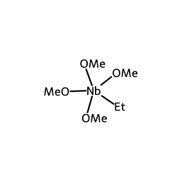 C[CH2][Nb]([O]C)([O]C)([O]C)[O]C